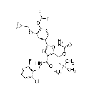 CC(C)(C)CC(OC(N)=O)c1oc(-c2ccc(OC(F)F)c(OCC3CC3)c2)nc1C(=O)NCc1c(F)cccc1Cl